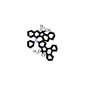 CC1(C)c2cc3ccccc3c(N(c3ccccc3)c3ccc4c(c3)C(C)(C)c3c-4c4ccccc4c4ccccc34)c2-c2ccc3ccccc3c21